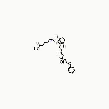 CC(O)(CCOc1ccccc1)CNCC[C@@H]1[C@@H](C/C=C\CCCC(=O)O)[C@H]2CC[C@@H]1O2